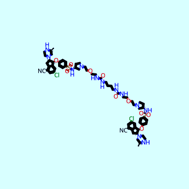 C[C@H]1CN([C@H]2Cc3c(C#N)cc(Cl)cc3[C@@H]2Oc2ccc(S(=O)(=O)N[C@H]3CCN(CCOCCNC(=O)NCCCCNC(=O)NCCOCCN4CC[C@H](NS(=O)(=O)c5ccc(O[C@H]6c7cc(Cl)cc(C#N)c7C[C@@H]6N6CCN[C@@H](C)C6)cc5)C4)C3)cc2)CCN1